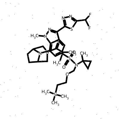 CC(C)C(=O)N1CC2CCC(C1)N2c1cc(S(=O)(=O)N(COCC[Si](C)(C)C)C2(C)CC2)cc2c(-c3nnc(C(F)F)s3)nn(C)c12